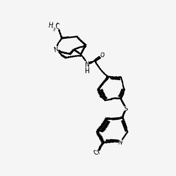 CC1CC2CCN1CC2NC(=O)c1ccc(Sc2ccc(Cl)nc2)cc1